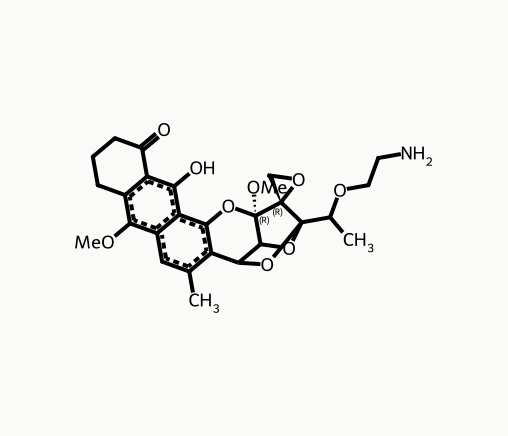 COc1c2c(c(O)c3c4c(c(C)cc13)C1OC3(C(C)OCCN)OC1[C@@](OC)(O4)[C@@]31CO1)C(=O)CCC2